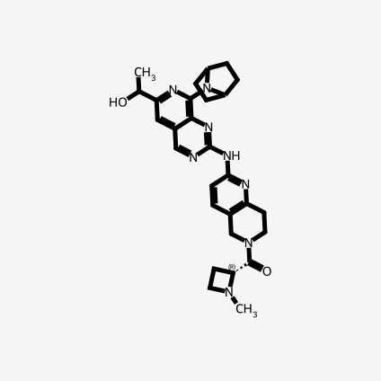 CC(O)c1cc2cnc(Nc3ccc4c(n3)CCN(C(=O)[C@H]3CCN3C)C4)nc2c(N2C3CCC2CC3)n1